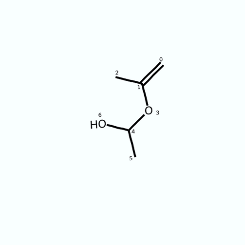 C=C(C)OC(C)O